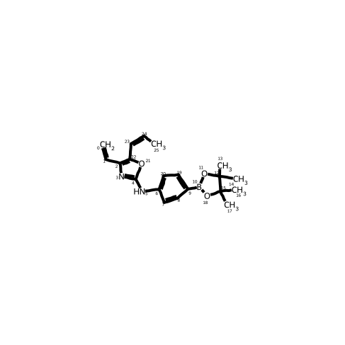 C=Cc1nc(Nc2ccc(B3OC(C)(C)C(C)(C)O3)cc2)oc1/C=C\C